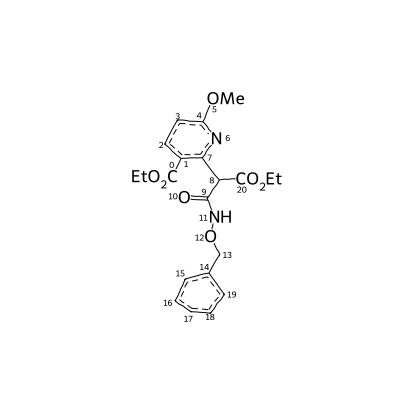 CCOC(=O)c1ccc(OC)nc1C(C(=O)NOCc1ccccc1)C(=O)OCC